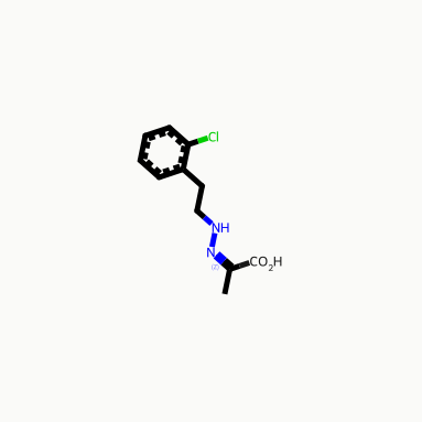 C/C(=N/NCCc1ccccc1Cl)C(=O)O